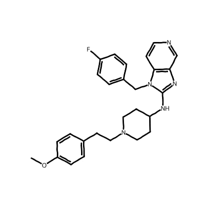 COc1ccc(CCN2CCC(Nc3nc4cnccc4n3Cc3ccc(F)cc3)CC2)cc1